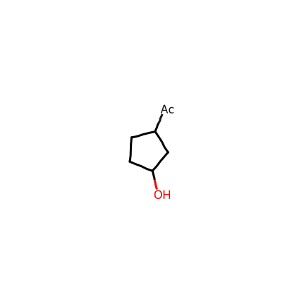 CC(=O)C1CCC(O)C1